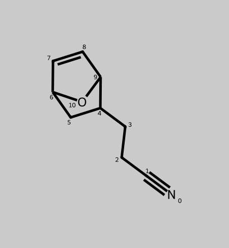 N#CCCC1CC2C=CC1O2